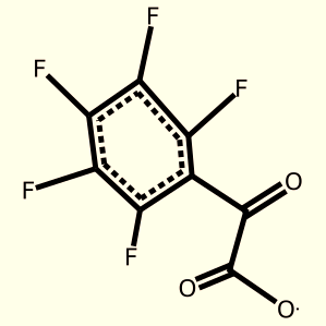 [O]C(=O)C(=O)c1c(F)c(F)c(F)c(F)c1F